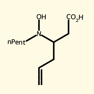 C=CCC(CC(=O)O)N(O)CCCCC